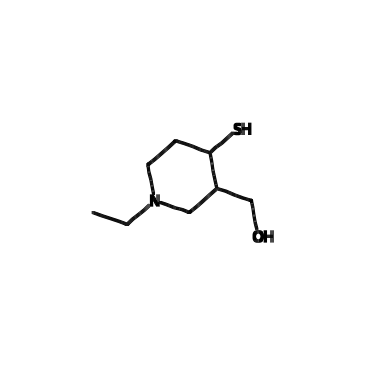 CCN1CCC(S)C(CO)C1